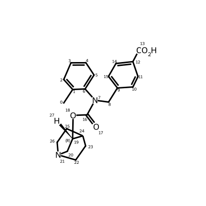 Cc1ccccc1N(Cc1ccc(C(=O)O)cc1)C(=O)O[C@H]1CN2CCC1CC2